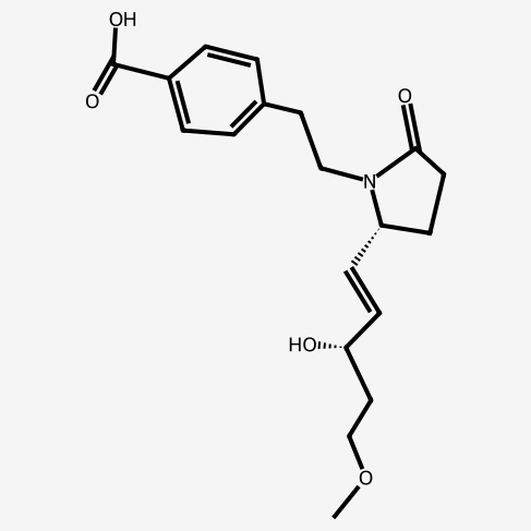 COCC[C@H](O)/C=C/[C@H]1CCC(=O)N1CCc1ccc(C(=O)O)cc1